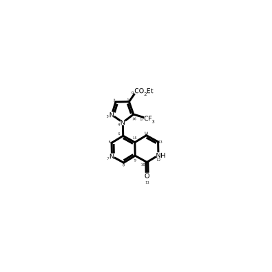 CCOC(=O)c1cnn(-c2cncc3c(=O)[nH]ccc23)c1C(F)(F)F